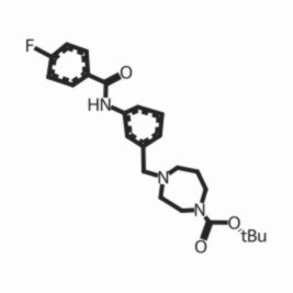 CC(C)(C)OC(=O)N1CCCN(Cc2cccc(NC(=O)c3ccc(F)cc3)c2)CC1